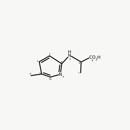 Cc1ccc(NC(C)C(=O)O)nc1